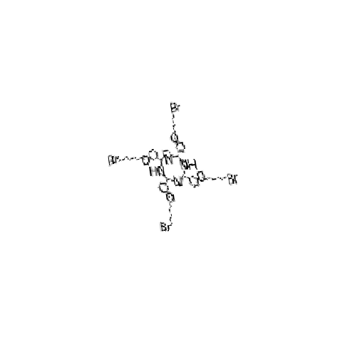 BrCCCCCCOc1cccc(-c2c3nc(c(-c4cccc(OCCCCCCBr)c4)c4ccc([nH]4)c(-c4cccc(OCCCCCCBr)c4)c4nc(c(-c5cccc(OCCCCCCBr)c5)c5ccc2[nH]5)C=C4)C=C3)c1